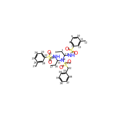 CCC(NS(=O)(=O)c1cccc(C)c1)N(C(CC)NS(=O)(=O)c1cccc(C)c1)S(=O)(=O)Cc1ccccc1